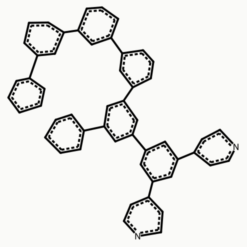 c1ccc(-c2cccc(-c3cccc(-c4cccc(-c5cc(-c6ccccc6)cc(-c6cc(-c7ccncc7)cc(-c7ccncc7)c6)c5)c4)c3)c2)cc1